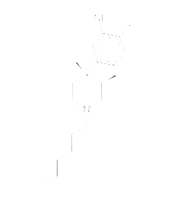 CCCCCCN1CC[C@](C)(c2ccc(I)c(N)c2)[C@@H](C)C1